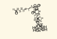 C=CC.C=CC.C=CC.CC1COC(=O)O1.CCCCCC(C)=O.CCOCC.COC(C)=O.O=C1CCCCC1.OCCO.OCCO